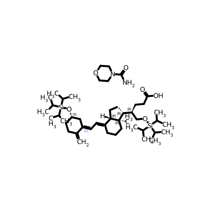 C=C1CC[C@H](O[Si](C(C)C)(C(C)C)C(C)C)C/C1=C\C=C1CCC[C@]2(C)[C@@H]([C@@H](CCC(=O)O)CO[Si](C(C)C)(C(C)C)C(C)C)CC[C@@H]12.NC(=O)N1CCOCC1